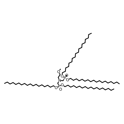 CCCCCCCCCCCCCCCCCCOP(=O)(CN(CCOC)CP(=O)(OCCCCCCCCCCCCCCCCCC)OCCCCCCCCCCCCCCCCCC)OCCCCCCCCCCCCCCCCCC